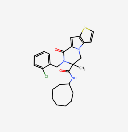 CC1(C(=O)NC2CCCCCCC2)Cn2c(cc3sccc32)C(=O)N1Cc1ccccc1Cl